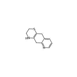 c1cnc2c(c1)CC1=C(C2)NCCS1